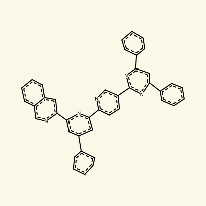 c1ccc(-c2cc(-c3ccc(-c4nc(-c5ccccc5)cc(-c5ccccc5)n4)cn3)nc(-c3cc4ccccc4cn3)c2)cc1